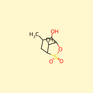 CC1CC2C(C)C(OS2(=O)=O)C1O